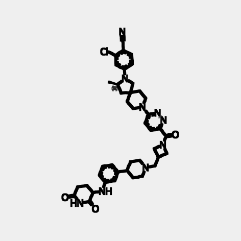 C[C@@H]1CC2(CCN(c3ccc(C(=O)N4CC(CN5CCC(c6cccc(NC7CCC(=O)NC7=O)c6)CC5)C4)nn3)CC2)CN1c1ccc(C#N)c(Cl)c1